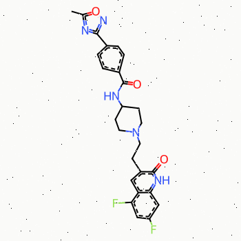 Cc1nc(-c2ccc(C(=O)NC3CCN(CCc4cc5c(F)cc(F)cc5[nH]c4=O)CC3)cc2)no1